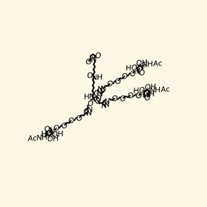 CC(=O)N[C@H]1[C@@H]2OC[C@](COCCOCCOCCOCCn3cc(COCC(COCc4cn(CCOCCOCCOCCOC[C@@]56CO[C@H](O5)[C@H](NC(C)=O)[C@@H](O)[C@H]6O)nn4)(COCc4cn(CCOCCOCCOCCOC[C@@]56COC(O5)[C@H](NC(C)=O)[C@@H](O)[C@H]6O)nn4)NC(=O)CCCCCNC(=O)CCCCCN4C(=O)CCC4=O)nn3)(O2)[C@H](O)[C@@H]1O